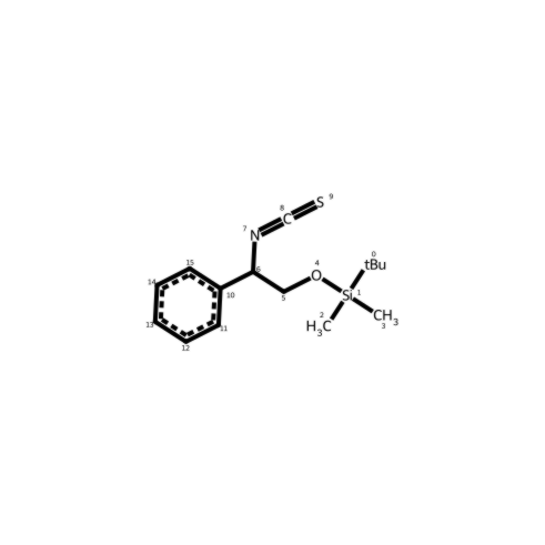 CC(C)(C)[Si](C)(C)OCC(N=C=S)c1ccccc1